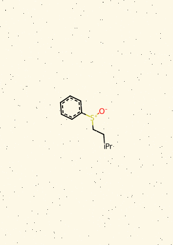 CC(C)CC[S+]([O-])c1ccccc1